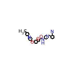 Cc1ccc(N2CCC(Oc3ccc4cc(C(=O)NC5CCN(Cc6ccccc6C#N)CC5)oc4c3)CC2)cc1